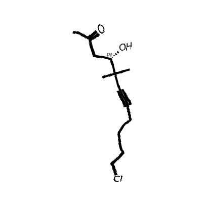 CC(=O)C[C@H](O)C(C)(C)C#CCCCCCl